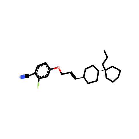 CCCC1([C@H]2CC[C@H](/C=C/COc3ccc(C#N)c(F)c3)CC2)CCCCC1